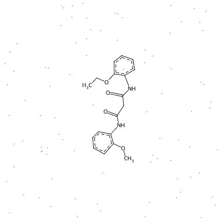 CCOc1ccccc1NC(=O)CC(=O)Nc1ccccc1OC